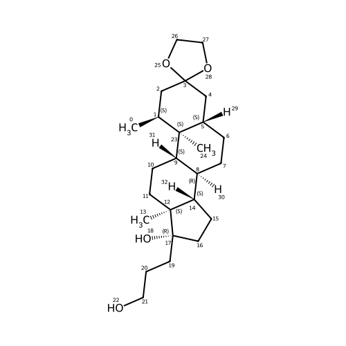 C[C@H]1CC2(C[C@@H]3CC[C@@H]4[C@H](CC[C@@]5(C)[C@H]4CC[C@@]5(O)CCCO)[C@]31C)OCCO2